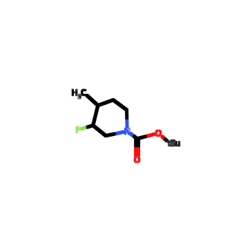 CC1CCN(C(=O)OC(C)(C)C)CC1F